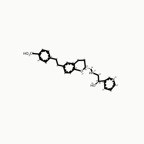 O=C(O)c1ccc(CCc2ccc3c(c2)CC[C@H](CNC[C@H](O)c2cccnc2)O3)cc1